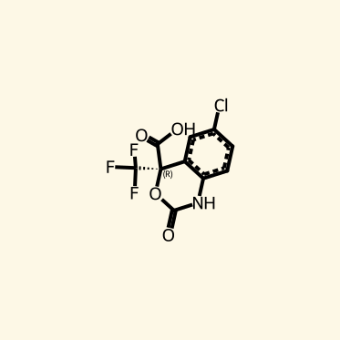 O=C1Nc2ccc(Cl)cc2[C@@](C(=O)O)(C(F)(F)F)O1